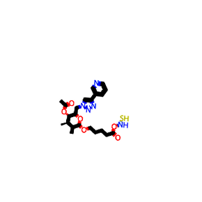 CC(=O)O[C@H]1C(Cn2cc(-c3cccnc3)nn2)OC(OCCCCC(=O)ONS)C(C)[C@H]1C